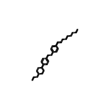 CCCCCCCC=Cc1ccc(CCc2ccc(C3CCC(CCC)CC3)cc2)cc1